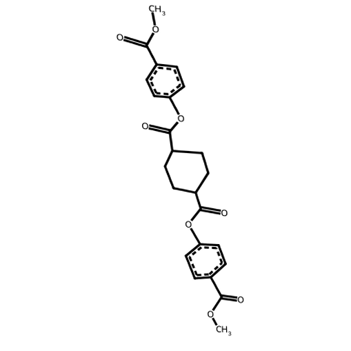 COC(=O)c1ccc(OC(=O)C2CCC(C(=O)Oc3ccc(C(=O)OC)cc3)CC2)cc1